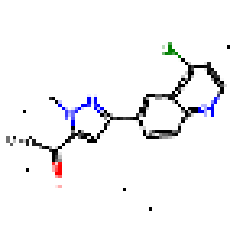 COC(=O)c1cc(-c2ccc3nccc(Cl)c3c2)nn1C